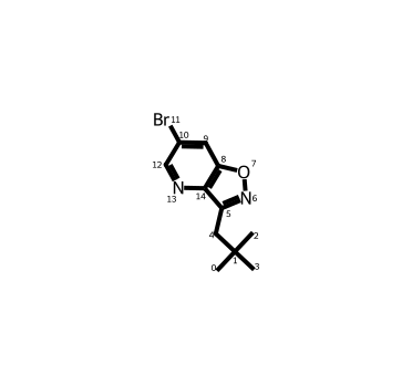 CC(C)(C)Cc1noc2cc(Br)cnc12